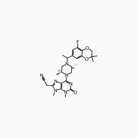 CC(c1cc(F)c2c(c1)OC(C)(C)CO2)N1C[C@H](C)N(c2nc(=O)n(C)c3c2nc(CC#N)n3C)C[C@H]1C